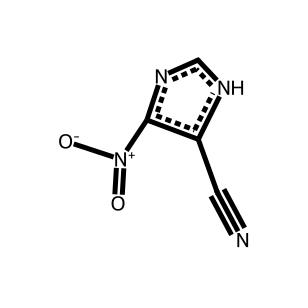 N#Cc1[nH]cnc1[N+](=O)[O-]